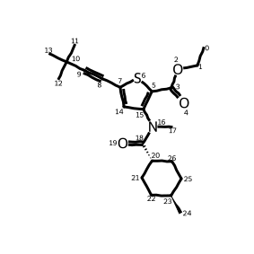 CCOC(=O)c1sc(C#CC(C)(C)C)cc1N(C)C(=O)[C@H]1CC[C@H](C)CC1